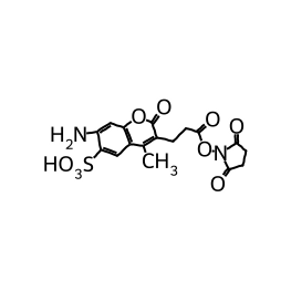 Cc1c(CCC(=O)ON2C(=O)CCC2=O)c(=O)oc2cc(N)c(S(=O)(=O)O)cc12